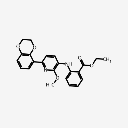 CCOC(=O)c1ccccc1Nc1ccc(-c2cccc3c2OCCO3)nc1OC